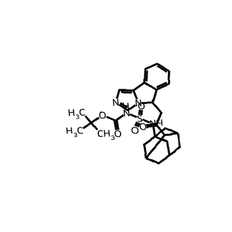 CC(C)(C)OC(=O)NS(=O)(=O)NC12CC3CC(C1)C(C(=O)CC1c4ccccc4-c4cncn41)C(C3)C2